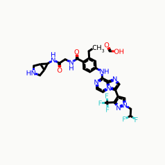 CCc1cc(Nc2nccn3c(-c4cn(CC(F)F)nc4C(F)(F)F)cnc23)ccc1C(=O)NCC(=O)NC1C2CNCC21.O=CO